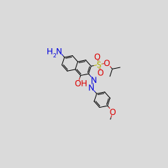 COc1ccc(N=Nc2c(S(=O)(=O)OC(C)C)cc3cc(N)ccc3c2O)cc1